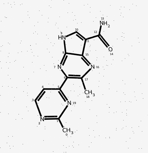 Cc1nccc(-c2nc3[nH]cc(C(N)=O)c3nc2C)n1